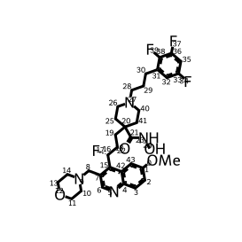 COc1ccc2ncc(CN3CCOCC3)c([C@H](F)CCC3(C(=O)NO)CCN(CCCc4cc(F)cc(F)c4F)CC3)c2c1